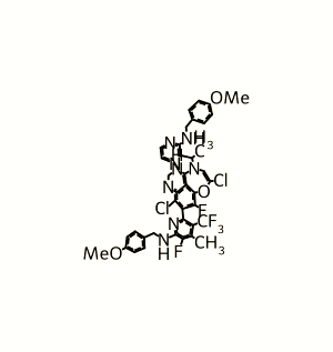 COc1ccc(CNc2nccnc2C(C)N2C=C(Cl)Oc3c(F)c(-c4nc(NCc5ccc(OC)cc5)c(F)c(C)c4C(F)(F)F)c(Cl)c4c3=C2NCN=4)cc1